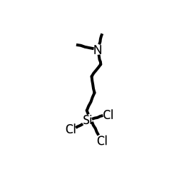 CN(C)CCCC[Si](Cl)(Cl)Cl